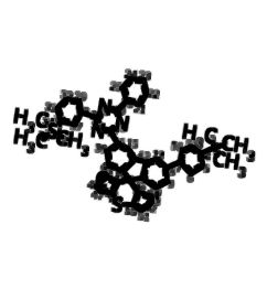 CC(C)(C)c1ccc(-c2ccc3c(c2)-c2cc(-c4nc(-c5ccccc5)nc(-c5cccc([Si](C)(C)C)c5)n4)ccc2C32c3ccccc3Sc3ccccc32)cc1